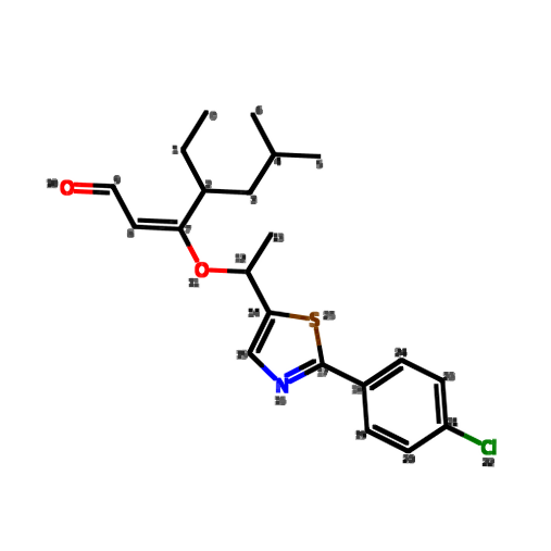 CCC(CC(C)C)/C(=C\C=O)OC(C)c1cnc(-c2ccc(Cl)cc2)s1